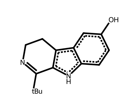 CC(C)(C)C1=NCCc2c1[nH]c1ccc(O)cc21